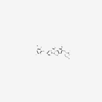 COc1cc(OC)c(F)c(COc2cnc(C3CCc4cc(CN5CCN(C)CC5=O)c(C=O)nc4N3C(N)=O)nc2)c1F